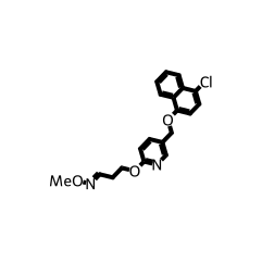 CON=CCCOc1ccc(COc2ccc(Cl)c3ccccc23)cn1